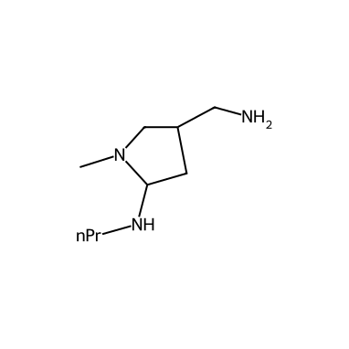 CCCNC1CC(CN)CN1C